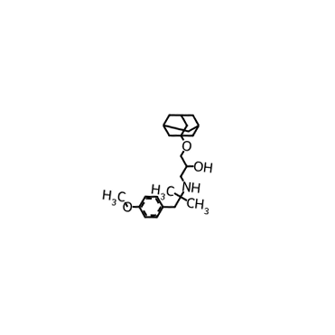 COc1ccc(CC(C)(C)NCC(O)COC23CC4CC(CC(C4)C2)C3)cc1